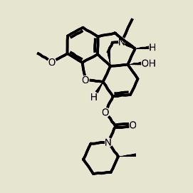 COc1ccc2c3c1O[C@H]1C(OC(=O)N4CCCC[C@@H]4C)=CC[C@@]4(O)[C@@H](C2)N(C)CC[C@]314